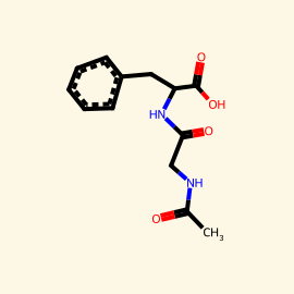 CC(=O)NCC(=O)NC(Cc1ccccc1)C(=O)O